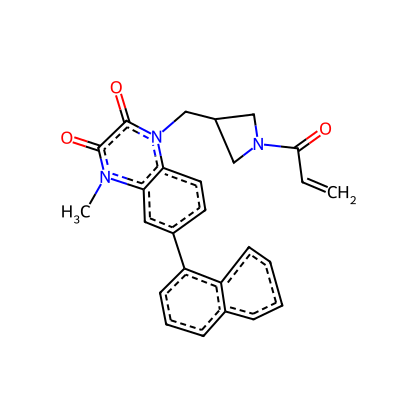 C=CC(=O)N1CC(Cn2c(=O)c(=O)n(C)c3cc(-c4cccc5ccccc45)ccc32)C1